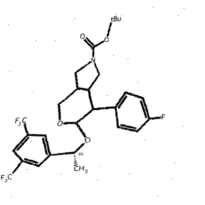 C[C@@H](OC1OCC2CN(C(=O)OC(C)(C)C)CC2C1c1ccc(F)cc1)c1cc(C(F)(F)F)cc(C(F)(F)F)c1